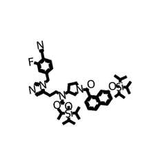 CC(C)[Si](OC(=O)N(CCc1cncn1Cc1ccc(C#N)c(F)c1)C1CCN(C(=O)c2cccc3ccc(O[Si](C(C)C)(C(C)C)C(C)C)cc23)C1)(C(C)C)C(C)C